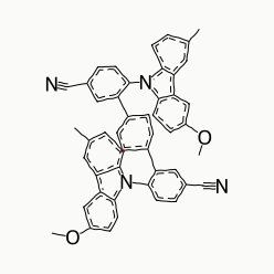 COc1ccc2c(c1)c1cc(C)ccc1n2-c1ccc(C#N)cc1-c1ccc(-c2cc(C#N)ccc2-n2c3ccc(C)cc3c3cc(OC)ccc32)cc1